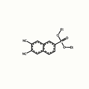 CCOP(=O)(OCC)c1ccc2cc(C#N)c(C#N)cc2c1